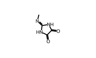 CN=C1NC(=O)C(=O)N1